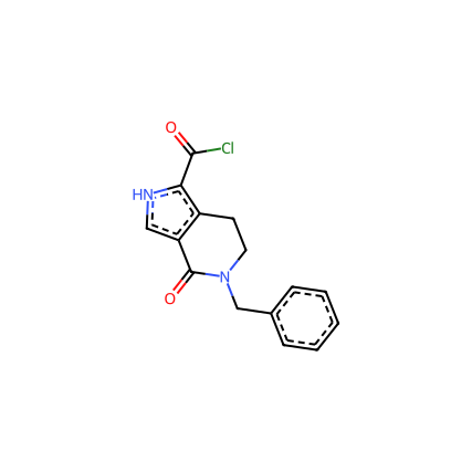 O=C(Cl)c1[nH]cc2c1CCN(Cc1ccccc1)C2=O